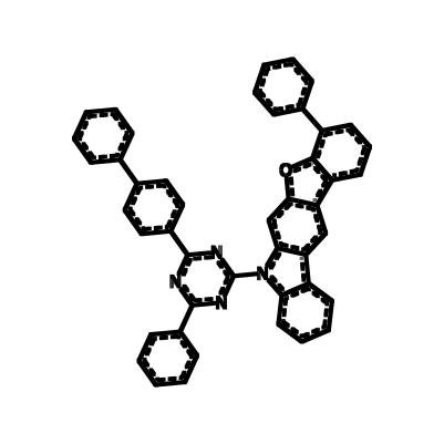 c1ccc(-c2ccc(-c3nc(-c4ccccc4)nc(-n4c5ccccc5c5cc6c(cc54)oc4c(-c5ccccc5)cccc46)n3)cc2)cc1